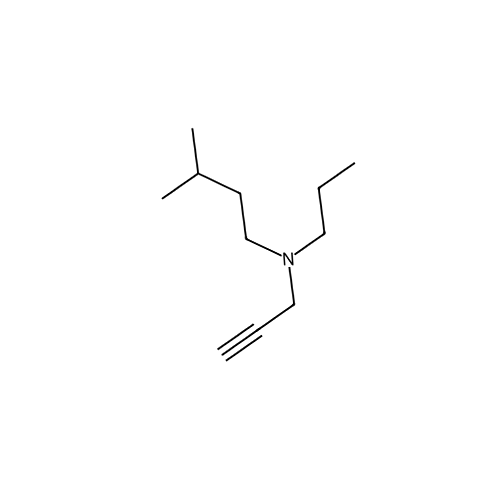 C#CCN(CCC)CCC(C)C